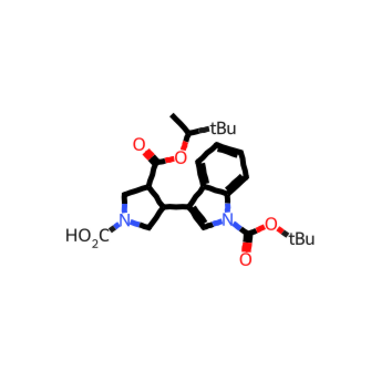 CC(OC(=O)C1CN(C(=O)O)CC1c1cn(C(=O)OC(C)(C)C)c2ccccc12)C(C)(C)C